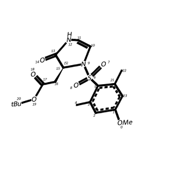 COc1cc(C)c(S(=O)(=O)N2C=CNC(=O)[C@@H]2CC(=O)OC(C)(C)C)c(C)c1